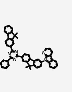 CC1(C)c2ccccc2-c2ccc(-c3nc(-c4ccccc4)nc(-c4ccc5c(c4)C(C)(C)c4ccc(-n6c7ccccc7c7cccnc76)cc4-5)n3)cc21